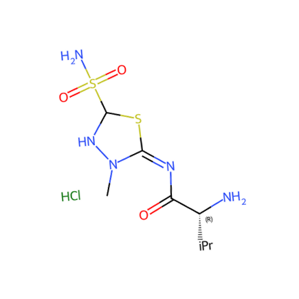 CC(C)[C@@H](N)C(=O)N=C1SC(S(N)(=O)=O)NN1C.Cl